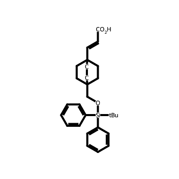 CC(C)(C)[Si](OCC12CCC(/C=C/C(=O)O)(CC1)CC2)(c1ccccc1)c1ccccc1